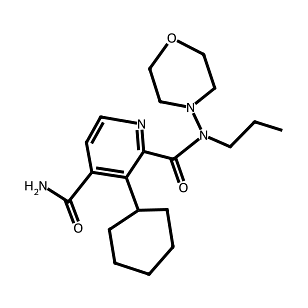 CCCN(C(=O)c1nccc(C(N)=O)c1C1CCCCC1)N1CCOCC1